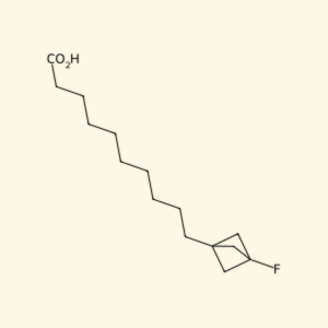 O=C(O)CCCCCCCCCC12CC(F)(C1)C2